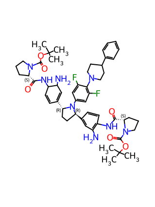 CC(C)(C)OC(=O)N1CCC[C@H]1C(=O)Nc1ccc([C@H]2CC[C@H](C3=CC(N)C(NC(=O)[C@@H]4CCCN4C(=O)OC(C)(C)C)C=C3)N2c2cc(F)c(N3CCC(c4ccccc4)CC3)c(F)c2)cc1N